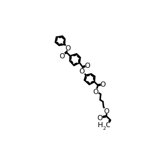 C=CC(=O)OCCCCOC(=O)c1ccc(OC(=O)c2ccc(C(=O)Oc3ccccc3)cc2)cc1